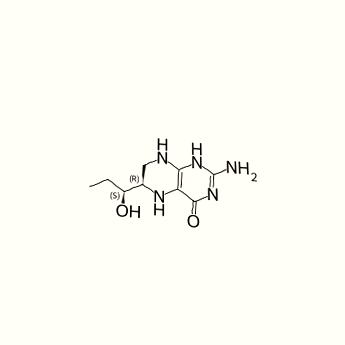 CC[C@H](O)[C@H]1CNc2[nH]c(N)nc(=O)c2N1